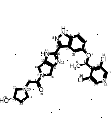 C[C@@H](Oc1ccc2[nH]nc(-c3nc4c([nH]3)CN(C(=O)CN3CC[C@H](O)C3)C4)c2c1)c1c(Cl)cncc1Cl